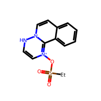 CCS(=O)(=O)O[N+]1=C2c3ccccc3C=CN2NC=C1